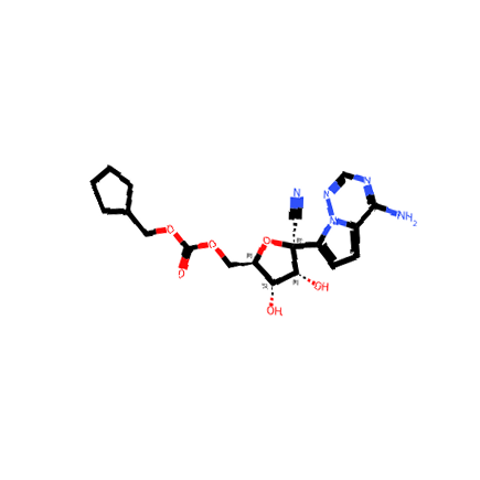 N#C[C@@]1(c2ccc3c(N)ncnn23)O[C@H](COC(=O)OCC2CCCC2)[C@@H](O)[C@H]1O